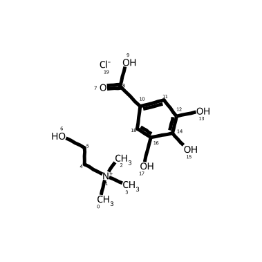 C[N+](C)(C)CCO.O=C(O)c1cc(O)c(O)c(O)c1.[Cl-]